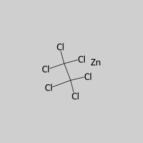 ClC(Cl)(Cl)C(Cl)(Cl)Cl.[Zn]